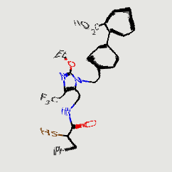 CCOc1nc(C(F)(F)F)c(CNC(=O)C(S)CC(C)C)n1Cc1ccc(-c2ccccc2C(=O)O)cc1